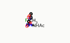 CC(=O)NCCNC(=O)C1(c2ccc(CN3[C@@H](C)CC[C@H](c4ccccc4)S3(=O)=O)c(F)c2)CCOCC1